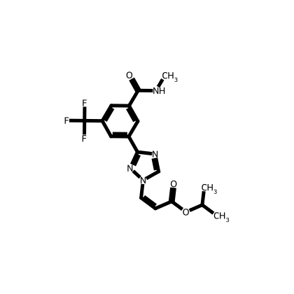 CNC(=O)c1cc(-c2ncn(/C=C\C(=O)OC(C)C)n2)cc(C(F)(F)F)c1